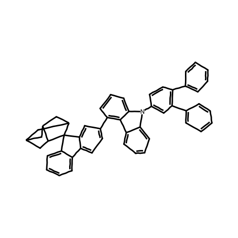 c1ccc(-c2ccc(-n3c4ccccc4c4c(-c5ccc6c(c5)C5(c7ccccc7-6)C6CC7CC(C6)C5C7)cccc43)cc2-c2ccccc2)cc1